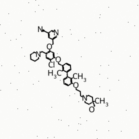 Cc1c(COc2cc(OCc3cncc(C#N)c3)c(CN3CCCCC3)cc2Cl)cccc1-c1cccc(OCCCN2CCC(C)(C=O)CC2)c1C